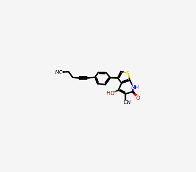 N#CCCC#Cc1ccc(-c2csc3[nH]c(=O)c(C#N)c(O)c23)cc1